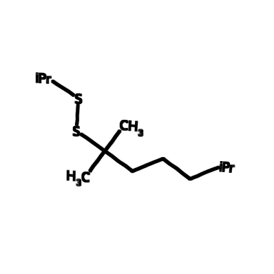 CC(C)CCCC(C)(C)SSC(C)C